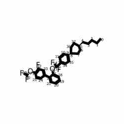 CCCCC[C@H]1CC[C@H](c2ccc(C(F)(F)Oc3ccccc3-c3ccc(OC(F)F)c(F)c3)cc2)CC1